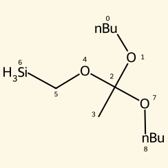 CCCCOC(C)(OC[SiH3])OCCCC